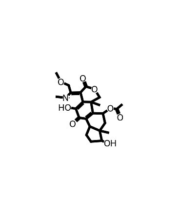 C[N]C(COC)=C1C(=O)OCC2(C)C1=C(O)C(=O)C1=C2C(OC(C)=O)CC2(C)C(O)CCC12